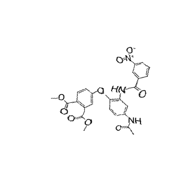 COC(=O)c1ccc(Oc2ccc(NC(C)=O)cc2NC(=O)c2cccc([N+](=O)[O-])c2)cc1C(=O)OC